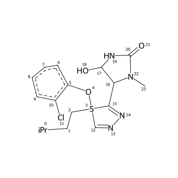 CC(C)CCS1(Oc2ccccc2Cl)C=NN=C1C1C(O)NC(=O)N1C